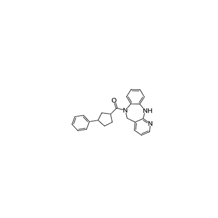 O=C(C1CCC(c2ccccc2)C1)N1Cc2cccnc2Nc2ccccc21